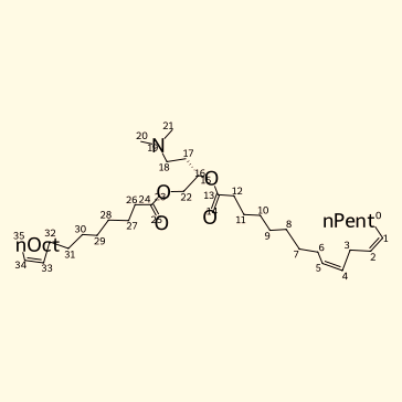 CCCCC/C=C\C/C=C\CCCCCCCC(=O)O[C@@H](CCN(C)C)COC(=O)CCCCCCC/C=C\CCCCCCCC